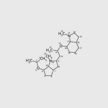 CC(C)OC1CCC2CC(CC(C)OC3CCCC4CCN(C)C43)N(C)C21